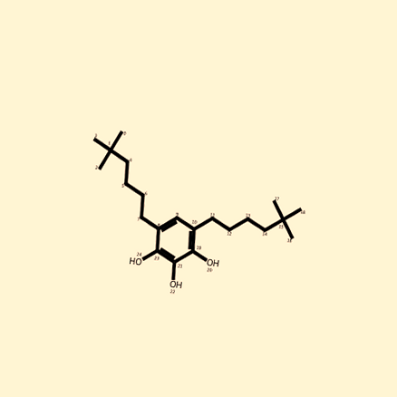 CC(C)(C)CCCCc1cc(CCCCC(C)(C)C)c(O)c(O)c1O